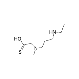 CCNCCCN(C)CC(O)=S